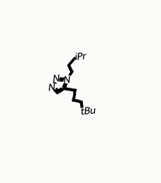 CC(C)CCn1nncc1CCCC(C)(C)C